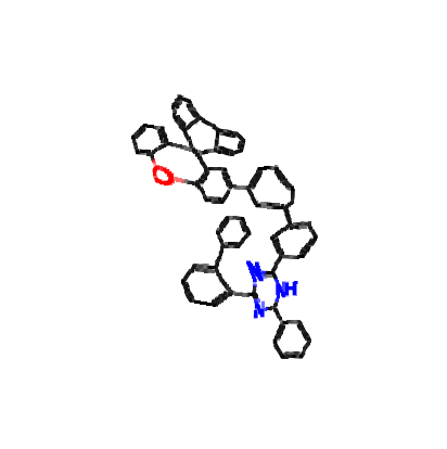 c1ccc(-c2ccccc2C2=NC(c3ccccc3)NC(c3cccc(-c4cccc(-c5ccc6c(c5)C5(c7ccccc7O6)c6ccccc6-c6ccccc65)c4)c3)=N2)cc1